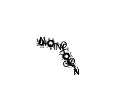 CC(C)(C(=O)NCc1ccc(-n2cccn2)cc1)c1ccc(S(=O)(=O)C=CC#N)cc1